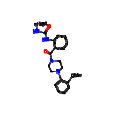 CCCCCCCNC(=O)Nc1ccccc1C(=O)N1CCN(c2ccccc2OC)CC1